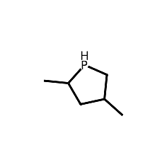 CC1CPC(C)C1